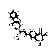 CN1CC(=O)Nc2ncc(/C=C/C(=O)N(C)Cc3sc4ccccc4c3Cl)cc2C1.Cl